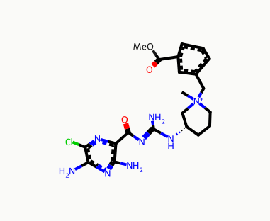 COC(=O)c1cccc(C[N+]2(C)CCC[C@H](N/C(N)=N/C(=O)c3nc(Cl)c(N)nc3N)C2)c1